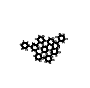 c1ccc(-c2cc(-c3cccc(-c4cccc(-c5ccc6nc(-c7ccccc7)c7cccc(-c8ccccc8)c7c6c5)c4)c3)nc(-c3ccccc3)n2)cc1